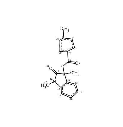 Cc1ccc(C(=O)CC2(C)C(=O)N(C)c3ccccc32)cc1